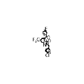 O=C([C@@H]1CC(C(F)(F)F)Cc2nn(Cc3ccc(Cl)nc3)c(=O)n21)N1CC[C@H](F)C1